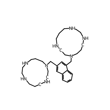 c1ccc2c(CN3CCCNCCNCCCNCC3)cc(CN3CCCNCCNCCCNCC3)cc2c1